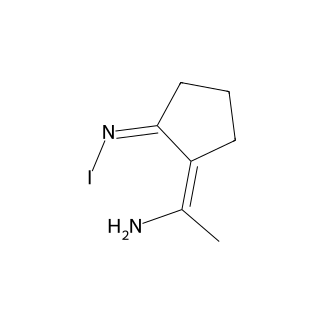 C/C(N)=C1\CCC\C1=N\I